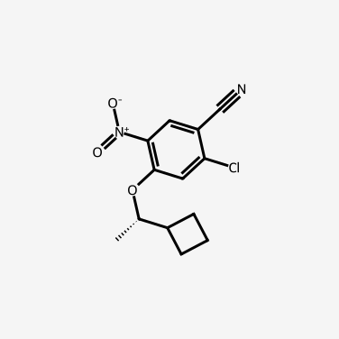 C[C@H](Oc1cc(Cl)c(C#N)cc1[N+](=O)[O-])C1CCC1